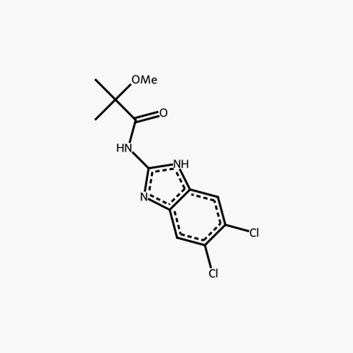 COC(C)(C)C(=O)Nc1nc2cc(Cl)c(Cl)cc2[nH]1